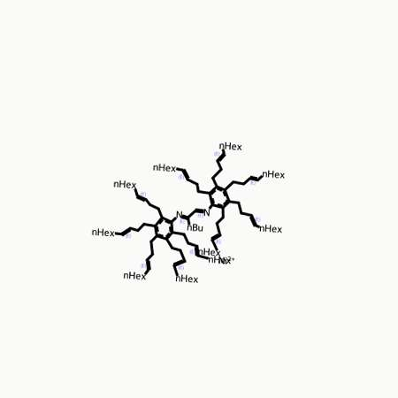 CCCCCC/C=C/CCc1c(CC/C=C/CCCCCC)c(CC/C=C/CCCCCC)c(/N=C/C(CCCC)=N/c2c(CC/C=C/CCCCCC)c(CC/C=C/CCCCCC)c(CC/C=C/CCCCCC)c(CC/C=C/CCCCCC)c2CC/C=C/CCCCCC)c(CC/C=C/CCCCCC)c1CC/C=C/CCCCCC.[Ni+2]